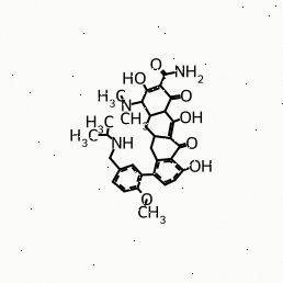 COc1ccc(CNC(C)C)cc1-c1ccc(O)c2c1CC1CC3C(C(=O)C(C(N)=O)=C(O)C3N(C)C)C(O)=C1C2=O